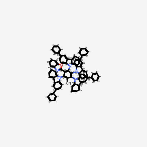 N#Cc1c(-n2c3ccccc3c3cc(-c4ccccc4)ccc32)c(-c2nc3ccccc3o2)c(-n2c3ccccc3c3cc(-c4ccccc4)ccc32)c(-n2c3ccccc3c3cc(-c4ccccc4)ccc32)c1-n1c2ccccc2c2cc(-c3ccccc3)ccc21